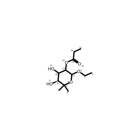 CCOC1OC(C)(C)[C@@H](O)C(O)C1OC(=O)CC